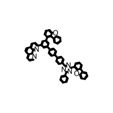 c1c2cccnc2c2nc(-c3cc(-c4ccc(-c5ccc(-c6nc(-c7ccccc7)nc(-c7cccc8c7oc7ccccc78)n6)cc5)cc4)cc(-c4cccc5oc6ccccc6c45)c3)ccc2c#1